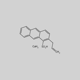 C=CCc1ccc2cc3ccccc3cc2c1S(=O)(=O)O.[CaH2]